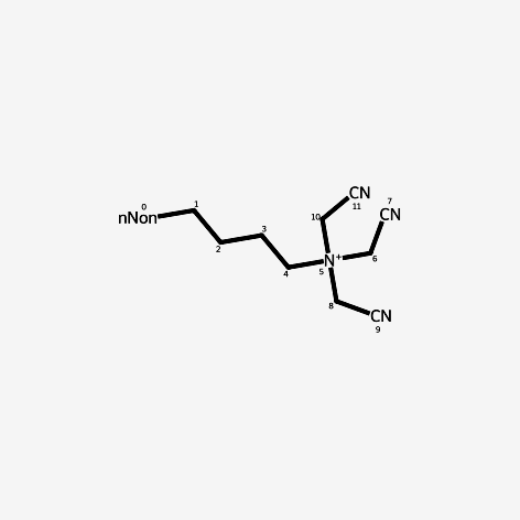 CCCCCCCCCCCCC[N+](CC#N)(CC#N)CC#N